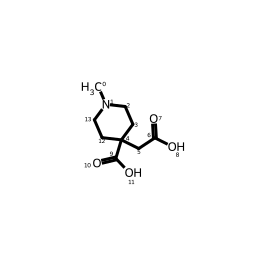 CN1CCC(CC(=O)O)(C(=O)O)CC1